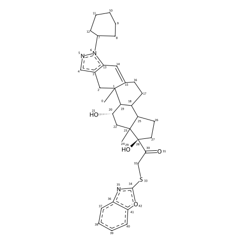 CC12Cc3cnn(C4CCCCC4)c3C=C1CCC1C2[C@@H](O)CC2(C)C1CC[C@]2(O)C(=O)CSc1nc2ccccc2o1